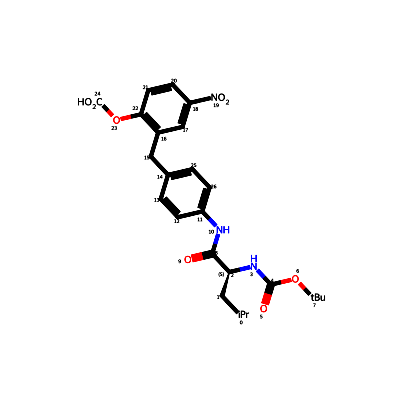 CC(C)C[C@H](NC(=O)OC(C)(C)C)C(=O)Nc1ccc(Cc2cc([N+](=O)[O-])ccc2OC(=O)O)cc1